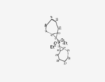 CCO[Si](OCC)(C1C2CCCCCC21)C1C2CCCCCC21